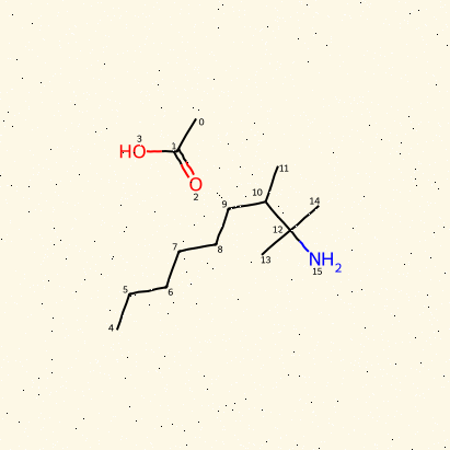 CC(=O)O.CCCCCCC(C)C(C)(C)N